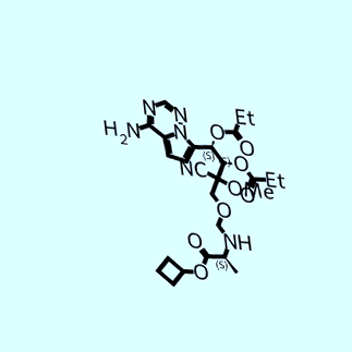 CCC(=O)O[C@@H](c1ccc2c(N)ncnn12)[C@H](OC(=O)CC)C(C#N)(COCN[C@@H](C)C(=O)OC1CCC1)OC